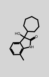 Cc1cccc2c1NC(=O)C2(O)C1CCCCCC1